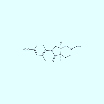 CNN1CC[C@H]2C(=O)N(c3ccc(C(=O)O)cc3F)C[C@H]2C1